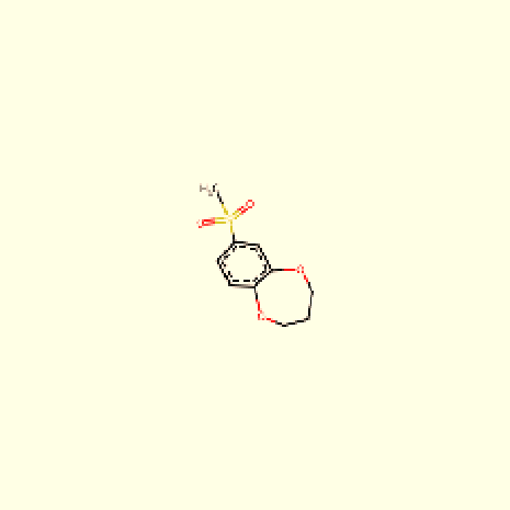 CS(=O)(=O)c1ccc2c(c1)OCCCO2